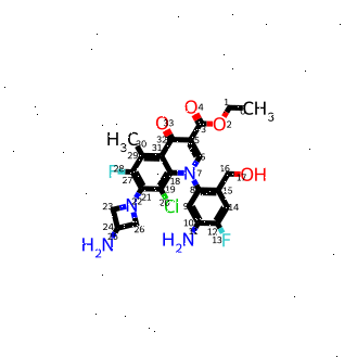 CCOC(=O)c1cn(-c2cc(N)c(F)cc2CO)c2c(Cl)c(N3CC(N)C3)c(F)c(C)c2c1=O